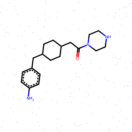 Nc1ccc(CC2CCC(CC(=O)N3CCNCC3)CC2)cc1